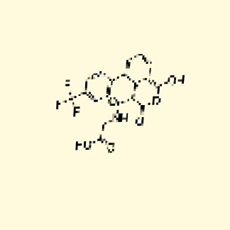 O=C(O)CNC(=O)c1c(=O)oc(O)c2cccc(-c3ccc(C(F)(F)F)cc3)c12